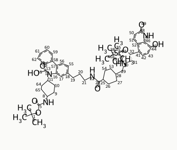 CC(C)(C)OC(=O)NC1CCC(N(C(=O)O)c2cc(CCCNC(=O)C3CCC(CNC[C@H](O[Si](C)(C)C(C)(C)C)c4ccc(O)c5[nH]c(=O)ccc45)CC3)ccc2-c2ccccc2)CC1